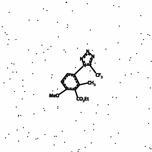 CCOC(=O)c1c(OC)ccc(-n2nnnc2C(F)(F)F)c1C